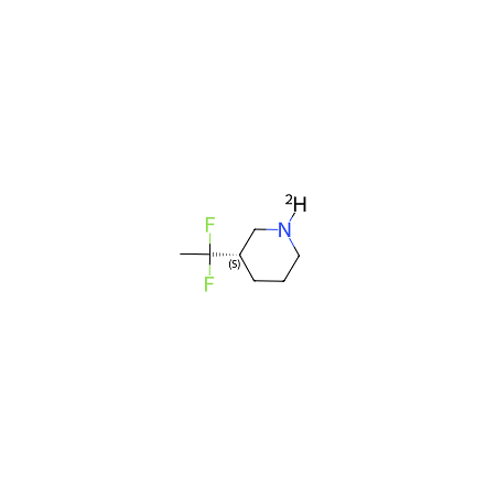 [2H]N1CCC[C@H](C(C)(F)F)C1